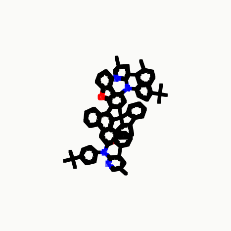 Cc1cnc(N(c2ccc(C(C)(C)C)cc2)c2ccc3c4c(c5ccccc5c3c2)-c2c(cc(N(c3ccc(C(C)(C)C)cc3)c3ncc(C)cc3-c3ccccc3C)c3c2oc2ccccc23)C42c3ccccc3-c3ccccc32)c(-c2ccccc2C)c1